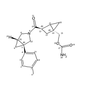 Cc1ccc([C@@]23C[C@@H]2CN(C(=O)[C@@H]2C[C@]4(COC(N)=O)CC24)C3)cc1